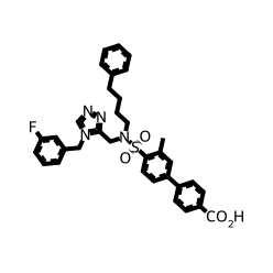 Cc1cc(-c2ccc(C(=O)O)cc2)ccc1S(=O)(=O)N(CCCCc1ccccc1)Cc1nncn1Cc1cccc(F)c1